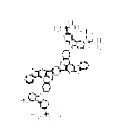 CC(C)(C)c1ccc2c(c1)c1cc(C(C)(C)C)ccc1n2-c1ccc2c(c1)c1c3c(cc4c5cc6c(cc5n2c41)c1cc2sc4ccccc4c2c2c4cc(-n5c7ccc(C(C)(C)C)cc7c7cc(C(C)(C)C)ccc75)ccc4n6c12)sc1ccccc13